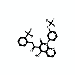 O=C(Cc1ccccc1C(F)(F)F)c1c(O)c2cccnc2n(-c2cccc(OC(F)(F)F)c2)c1=O